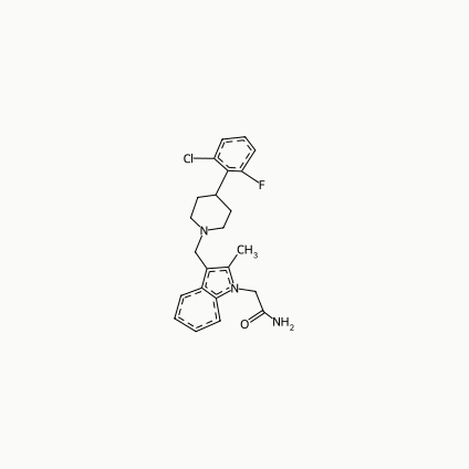 Cc1c(CN2CCC(c3c(F)cccc3Cl)CC2)c2ccccc2n1CC(N)=O